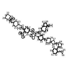 O=C(NS(=O)(=O)c1cnc(NCC2CCC(N=S3(=O)CCCCC3)CC2)c([N+](=O)[O-])c1)c1ccc(N2CCC3(CC2)CC(N2CCC[C@H]2c2ccccc2C2CC2)C3)cc1Oc1cnc2[nH]ccc2c1